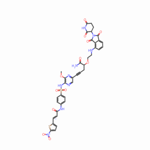 COc1nc(C#CCC(OCCNc2cccc3c2C(=O)N(C2CCC(=O)NC2=O)C3=O)C(N)=O)cnc1NS(=O)(=O)c1ccc(NC(=O)/C=C/c2ccc([N+](=O)[O-])s2)cc1